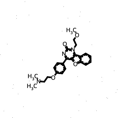 COCCn1c(=O)nc(-c2ccc(OCCN(C)C)cc2)c2oc3ccccc3c21